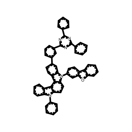 c1ccc(-c2nc(-c3ccccc3)nc(-c3cccc(-c4ccc5c6c7c8ccccc8n(-c8ccccc8)c7ccc6n(-c6ccc7c(c6)oc6ccccc67)c5c4)c3)n2)cc1